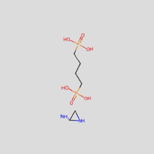 C1CN1.N.O=P(O)(O)CCCCP(=O)(O)O